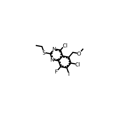 CCSc1nc(Cl)c2c(COC)c(Cl)c(I)c(F)c2n1